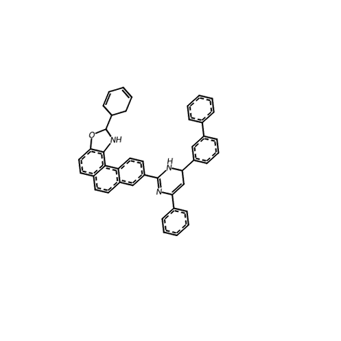 C1=CCC(C2Nc3c(ccc4ccc5cc(C6=NC(c7ccccc7)=CC(c7cccc(-c8ccccc8)c7)N6)ccc5c34)O2)C=C1